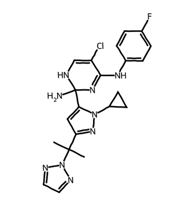 CC(C)(c1cc(C2(N)N=C(Nc3ccc(F)cc3)C(Cl)=CN2)n(C2CC2)n1)n1nccn1